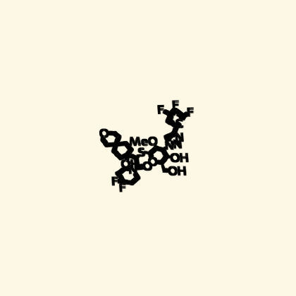 CO[C@@H]1[C@@H](n2cc(-c3cc(F)c(F)c(F)c3)nn2)[C@@H](O)[C@@H](CO)O[C@H]1S[C@@H](C(=O)N1CCC(F)(F)CC1)C1(O)CCC2(CCOCC2)CC1